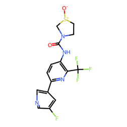 O=C(Nc1ccc(-c2cncc(F)c2)nc1C(F)(F)F)N1CC[S+]([O-])C1